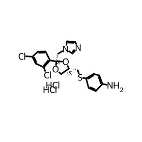 Cl.Cl.Nc1ccc(SC[C@@H]2CO[C@@](Cn3ccnc3)(c3ccc(Cl)cc3Cl)O2)cc1